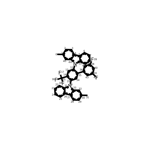 Cc1ccc2c3ccccc3n(-c3cc(C(F)(F)F)c(-n4c5ccccc5c5ccc(C)cc54)cc3-c3cc(F)cc(F)c3)c2c1